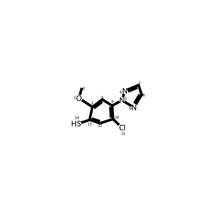 COc1cc(-n2nccn2)c(Cl)cc1S